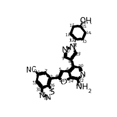 N#Cc1cc(-c2cc3c(-c4cnn([C@H]5CC[C@H](O)CC5)c4)cnc(N)c3o2)c2snnc2c1